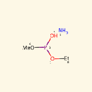 CCOP(O)OC.N